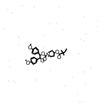 CCC(C)(C)C(=O)OC1CCN(C(=O)OC(C(=O)c2ccc(OC)cc2)c2ccc(OC)cc2)CC1